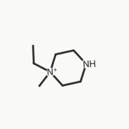 CC[N+]1(C)CCNCC1